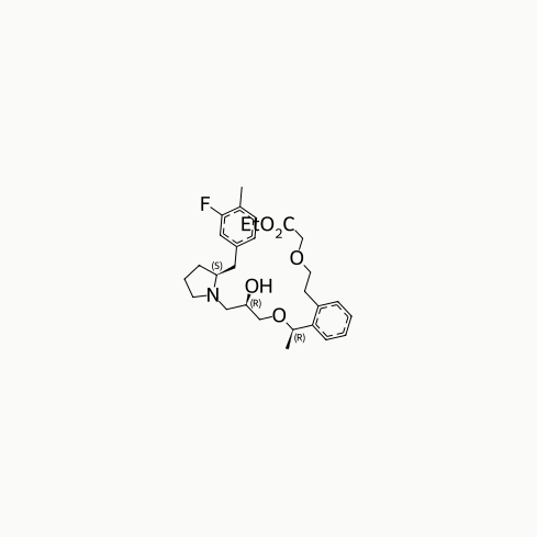 CCOC(=O)COCCc1ccccc1[C@@H](C)OC[C@H](O)CN1CCC[C@H]1Cc1ccc(C)c(F)c1